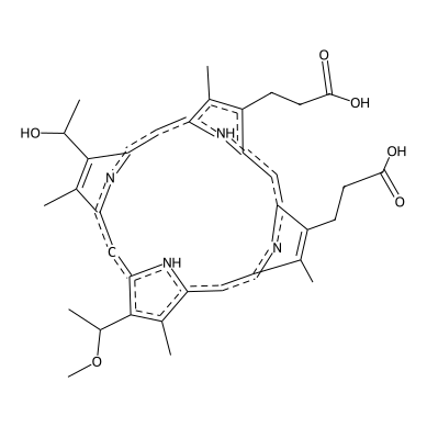 COC(C)c1c(C)c2cc3nc(cc4[nH]c(cc5nc(cc1[nH]2)C(C)=C5C(C)O)c(C)c4CCC(=O)O)C(CCC(=O)O)=C3C